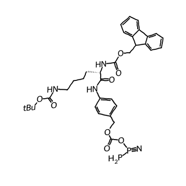 CC(C)(C)OC(=O)NCCCC[C@H](NC(=O)OCC1c2ccccc2-c2ccccc21)C(=O)Nc1ccc(COC(=O)OP(#N)P)cc1